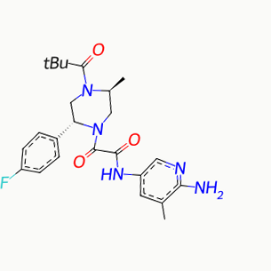 Cc1cc(NC(=O)C(=O)N2C[C@H](C)N(C(=O)C(C)(C)C)C[C@H]2c2ccc(F)cc2)cnc1N